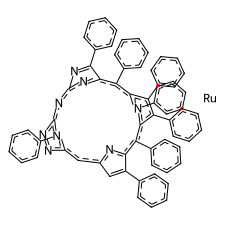 C1=C(c2ccccc2)c2nc1cc1nnc(nc3nc(c(-c4ccccc4)c4c(-c5ccccc5)c(-c5ccccc5)c(c2-c2ccccc2)n4-c2ccccc2)C(c2ccccc2)=N3)n1-c1ccccc1.[Ru]